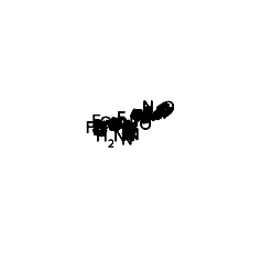 CC(C)(C=C(C#N)C(=O)N1CCC[C@@H]1Cn1nc(-c2ccc(Oc3cccc(F)c3F)cc2F)c2c(N)ncnc21)N1CCOCC1